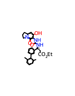 CCOC(=O)C[C@H](NC(=O)Nc1c(O)cc2n(c1=O)CCC2)c1cccc(-c2c(C)cccc2C)c1